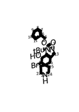 CC(C)(C)[N+]1(C(=O)OCc2ccccc2)N=CC2=C1C(O)C(Br)C1(CCNCC1)C2